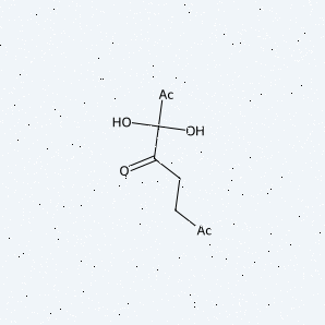 CC(=O)CCC(=O)C(O)(O)C(C)=O